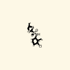 Cc1csc(S(=O)(=O)Nc2cccc(Cl)c2C)n1